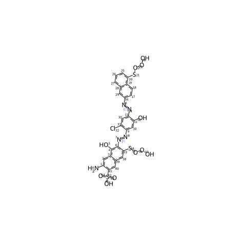 Nc1cc2c(O)c(/N=N/c3cc(O)c(/N=N/c4ccc5c(SOOO)cccc5c4)cc3Cl)c(SOOO)cc2cc1S(=O)(=O)O